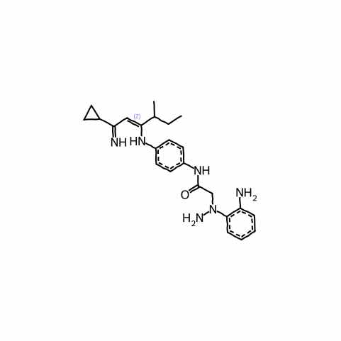 CCC(C)/C(=C/C(=N)C1CC1)Nc1ccc(NC(=O)CN(N)c2ccccc2N)cc1